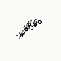 CC(c1ccccc1)n1ccc(C(=O)c2cncnc2N[C@@H]2C[C@H](COS(N)(=O)=O)[C@@H](O)[C@H]2O)n1